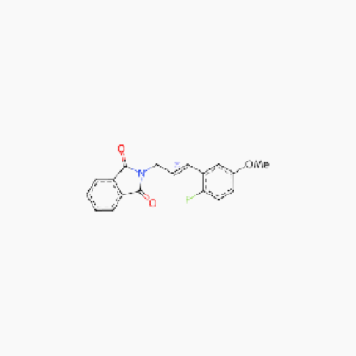 COc1ccc(F)c(/C=C/CN2C(=O)c3ccccc3C2=O)c1